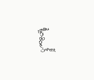 CCCCCC1CCCCC1CCCOc1ccc(OC(=O)c2ccc(OCCCC)c(F)c2)cc1